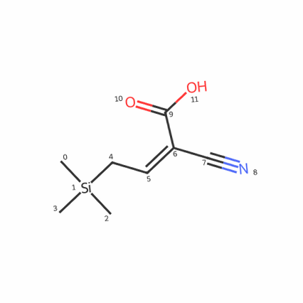 C[Si](C)(C)CC=C(C#N)C(=O)O